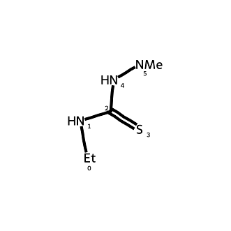 CCNC(=S)NNC